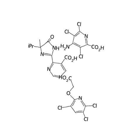 CC(C)C1(C)N=C(c2ncccc2C(=O)O)NC1=O.Nc1c(Cl)c(Cl)nc(C(=O)O)c1Cl.O=C(O)COc1nc(Cl)c(Cl)cc1Cl